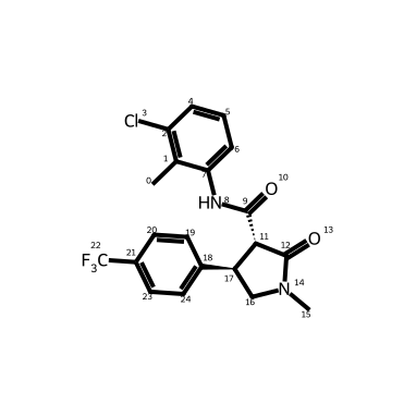 Cc1c(Cl)cccc1NC(=O)[C@@H]1C(=O)N(C)C[C@H]1c1ccc(C(F)(F)F)cc1